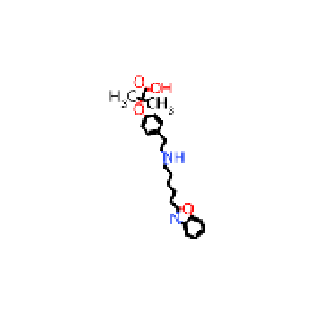 CC(C)(Oc1ccc(CCNCCCCCc2nc3ccccc3o2)cc1)C(=O)O